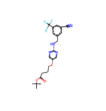 CC(C)(C)OC(=O)CCCOc1cnc(NCc2cc(C#N)cc(C(F)(F)F)c2)nc1